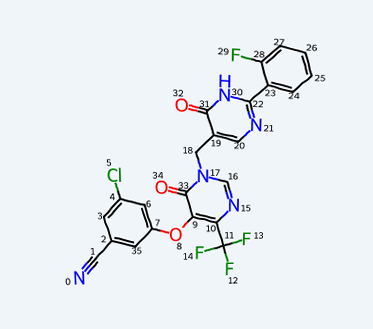 N#Cc1cc(Cl)cc(Oc2c(C(F)(F)F)ncn(Cc3cnc(-c4ccccc4F)[nH]c3=O)c2=O)c1